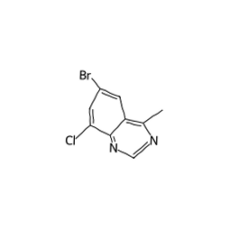 Cc1ncnc2c(Cl)cc(Br)cc12